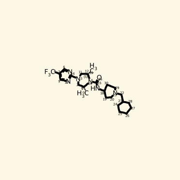 C[C@@H]1CN(c2ncc(C(F)(F)F)cn2)C[C@H](C)N1C(=O)NC1CCN(CC2CCCCC2)CC1